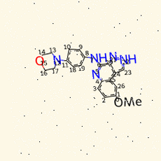 COc1ccc2nc(Nc3ccc(N4CCOCC4)cc3)c3n[nH]cc3c2c1